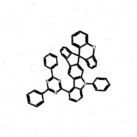 c1ccc(-c2nc(-c3ccccc3)nc(-c3cccc4c3c3cc5c(cc3n4-c3ccccc3)C3(c4ccccc4Oc4ccccc43)c3ccccc3-5)n2)cc1